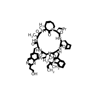 C=CC(C)(C)n1cc(C[C@@H]2NC(=O)[C@H](CC3CCC3)NC(=O)[C@H](CC(C)C)N3CC/C=C\C[C@@H](C3=O)N(C)C(=O)[C@H](C)NC(=O)[C@H](Cc3ccc4nc(CCO)ncc4c3)NC(=O)[C@H](CC(C)C)N(C)C2=O)c2ccccc21